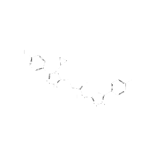 Cc1ccc(-c2nnc(NC(=O)CSc3nnc(-c4ccc(F)cc4)n3C3CC3)s2)cc1